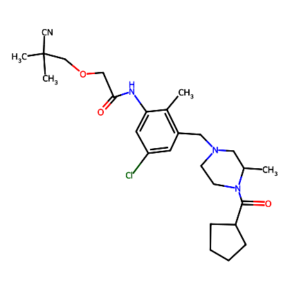 Cc1c(CN2CCN(C(=O)C3CCCC3)C(C)C2)cc(Cl)cc1NC(=O)COCC(C)(C)C#N